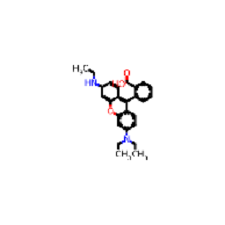 CCNC1C=CC2=C(c3ccccc3C(=O)O)c3ccc(N(CC)CC)cc3OC2=C1